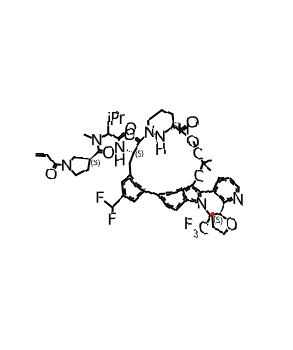 C=CC(=O)N1CC[C@H](C(=O)N(C)C(C(=O)N[C@H]2Cc3cc(cc(C(F)F)c3)-c3ccc4c(c3)c(c(-c3cccnc3[C@@H]3CCCO3)n4CC(F)(F)F)CC(C)(C)COC(=O)[C@@H]3CCCN(N3)C2=O)C(C)C)C1